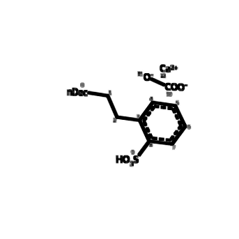 CCCCCCCCCCCCc1ccccc1S(=O)(=O)O.O=C([O-])[O-].[Ca+2]